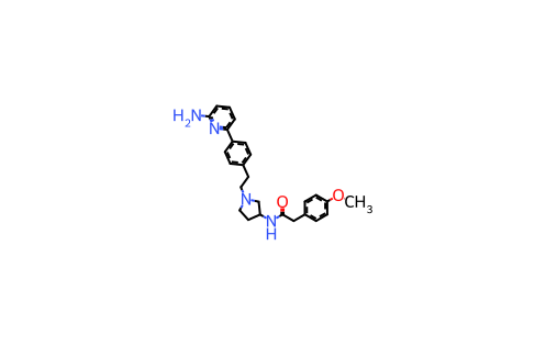 COc1ccc(CC(=O)NC2CCN(CCc3ccc(-c4cccc(N)n4)cc3)C2)cc1